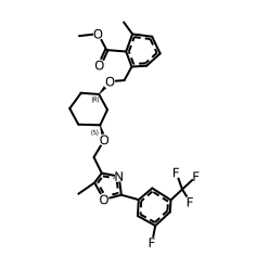 COC(=O)c1c(C)cccc1CO[C@@H]1CCC[C@H](OCc2nc(-c3cc(F)cc(C(F)(F)F)c3)oc2C)C1